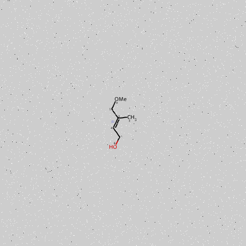 COC/C(C)=C/CO